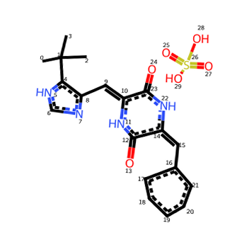 CC(C)(C)c1[nH]cnc1C=c1[nH]c(=O)c(=Cc2ccccc2)[nH]c1=O.O=S(=O)(O)O